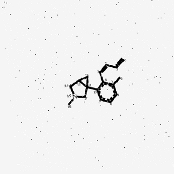 C=C/C=C\c1c(C)cccc1C12CC1CN(C)C2